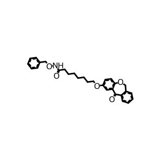 O=C(CCCCCCCOc1ccc2c(c1)C(=O)c1ccccc1CO2)NOCc1ccccc1